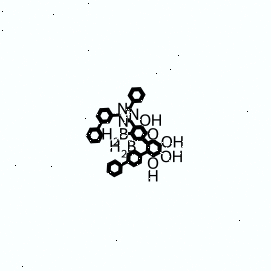 Bc1c(-c2nc(-c3ccccc3)nc(-c3cccc(-c4ccccc4)c3)n2)c(O)c2oc3c(O)c(O)c(O)c(-c4ccc(-c5ccccc5)cc4)c3c2c1B